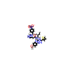 CC[C@H](C)[C@@H](CN(Cc1cccs1)C(=S)Nc1ccc(OC)cc1)NC(=O)Cc1cncn1Cc1ccc([N+](=O)[O-])cc1